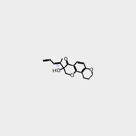 C=C/C=C(\C)C1(O)COc2c(ccc3c2CCCO3)C1=O